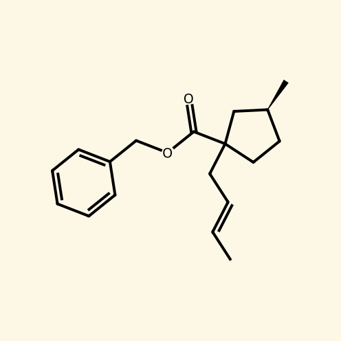 CC=CCC1(C(=O)OCc2ccccc2)CC[C@H](C)C1